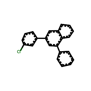 Clc1cccc(-c2cc(-c3ccccc3)c3ccccc3c2)c1